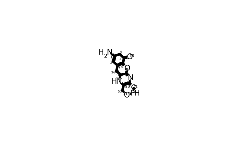 NC1=CC2=C(OC3=NC4=C(COPO4)NC3=C2)C(=O)C1